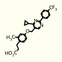 Cc1cc(OCc2cnc(-c3ccc(C(F)(F)F)cc3)nc2C2CC2)ccc1CCC(=O)O